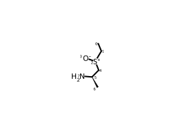 CC[S+]([O-])C[C@@H](C)N